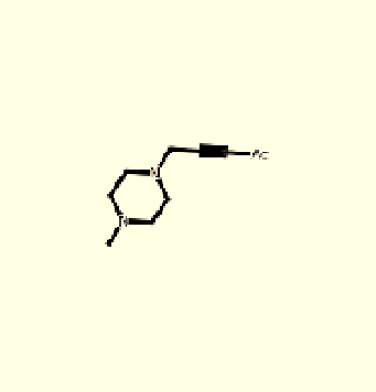 CC(=O)C#CCN1CCN(C)CC1